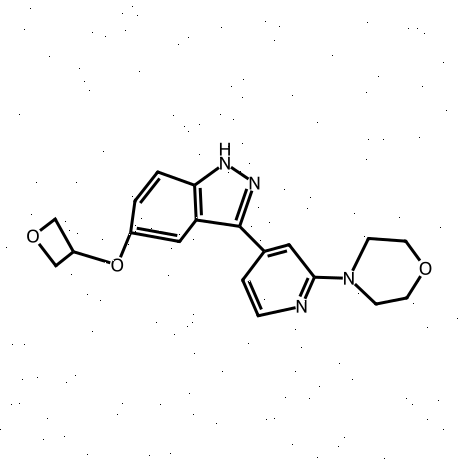 c1cc(-c2n[nH]c3ccc(OC4COC4)cc23)cc(N2CCOCC2)n1